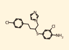 Nc1ccc(SC(CCc2ccc(Cl)cc2)Cn2ccnc2)cc1Cl